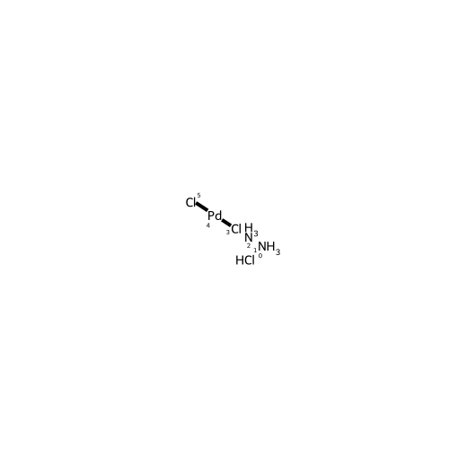 Cl.N.N.[Cl][Pd][Cl]